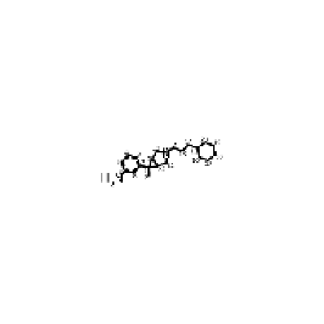 CC1(c2cccc(N)c2)C2CN(CCCC3CCCCC3)CC21